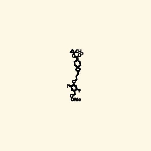 COOCc1cc(F)c(OCCCC2CC3(CCN(C(=O)OC4(C)CC4)CC3)C2)cc1F